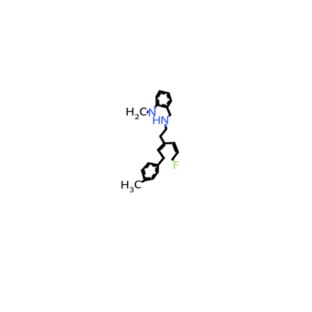 C=Nc1ccccc1CNCCC(/C=C\CF)=C/Cc1ccc(C)cc1